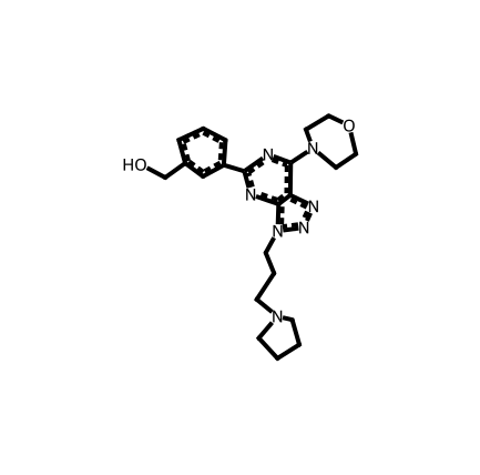 OCc1cccc(-c2nc(N3CCOCC3)c3nnn(CCCN4CCCC4)c3n2)c1